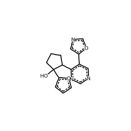 OC1(c2ccco2)CCCC1c1ncncc1-c1cnco1